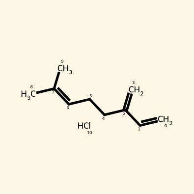 C=CC(=C)CCC=C(C)C.Cl